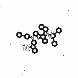 CC1(C)c2ccccc2-c2ccc(N(c3ccc(-c4ccccc4)cc3)c3cccc4c3sc3c5ccccc5c5c(c43)c3c4ccccc4ccc3n5-c3nc(-c4ccccc4)cc(-c4ccccc4)n3)cc21